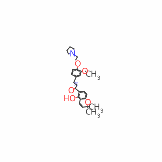 COc1cc(/C=C/C(=O)c2ccc3c(c2O)C=CC(C)(C)O3)ccc1OCCN1CCCC1